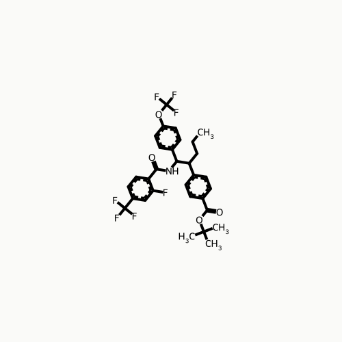 CCCC(c1ccc(C(=O)OC(C)(C)C)cc1)C(NC(=O)c1ccc(C(F)(F)F)cc1F)c1ccc(OC(F)(F)F)cc1